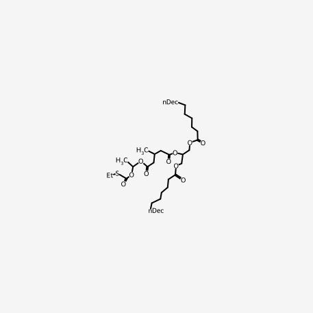 CCCCCCCCCCCCCCCC(=O)OCC(COC(=O)CCCCCCCCCCCCCCC)OC(=O)CC(C)CC(=O)OC(C)OC(=O)SCC